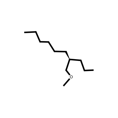 CCCCCC[C@@H](CCC)COC